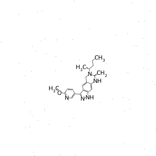 C=C1Nc2cc3[nH]nc(-c4ccc(OC)nc4)c3cc2CN1[C@@H](C)CCC